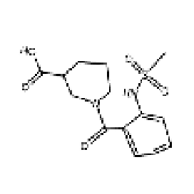 CS(=O)(=O)Nc1ccccc1C(=O)N1CCCC(C(=O)O)C1